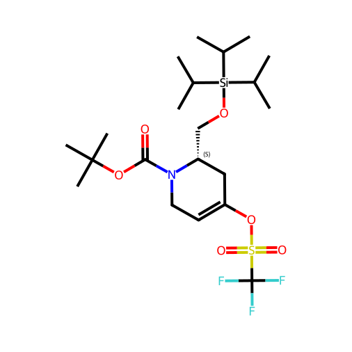 CC(C)[Si](OC[C@@H]1CC(OS(=O)(=O)C(F)(F)F)=CCN1C(=O)OC(C)(C)C)(C(C)C)C(C)C